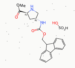 COC(=O)[C@@H]1C[C@@H](NC(=O)OCC2c3ccccc3-c3ccccc32)CN1.O=S(=O)(O)O